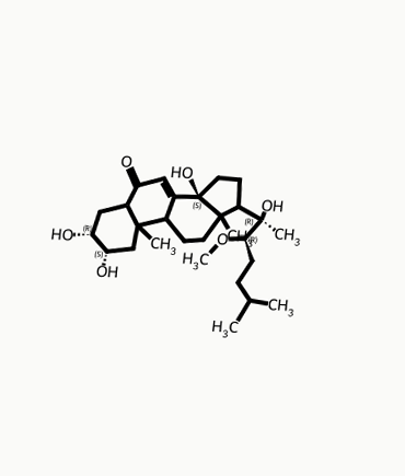 CO[C@H](CCC(C)C)[C@](C)(O)C1CC[C@@]2(O)C3=CC(=O)C4C[C@@H](O)[C@@H](O)CC4(C)C3CCC12C